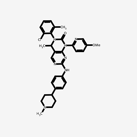 COc1ccc(N2C(=O)N(c3c(C)cccc3Cl)C(C)c3cnc(Nc4ccc(C5CCN(C)CC5)cc4)nc32)nc1